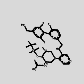 C[C@H]1CN(c2ccncc2NCc2ccc(F)c(-c3c(F)cc(CO)cc3F)n2)C[C@@H](NC(=O)O)[C@@H]1O[Si](C)(C)C(C)(C)C